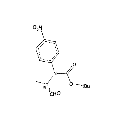 C[C@@H](C=O)N(C(=O)OC(C)(C)C)c1ccc([N+](=O)[O-])cc1